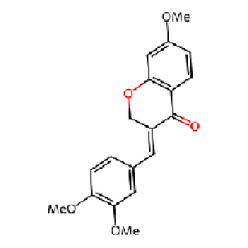 COc1ccc2c(c1)OC/C(=C\c1ccc(OC)c(OC)c1)C2=O